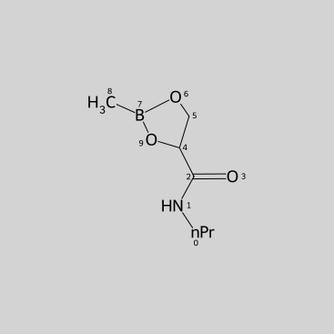 CCCNC(=O)C1COB(C)O1